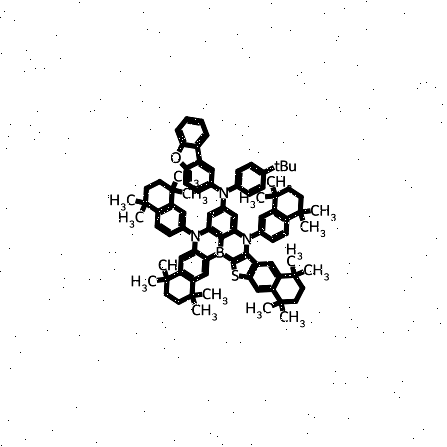 CC(C)(C)c1ccc(N(c2cc3c4c(c2)N(c2ccc5c(c2)C(C)(C)CCC5(C)C)c2c(sc5cc6c(cc25)C(C)(C)CCC6(C)C)B4c2cc4c(cc2N3c2ccc3c(c2)C(C)(C)CCC3(C)C)C(C)(C)CCC4(C)C)c2ccc3oc4ccccc4c3c2)cc1